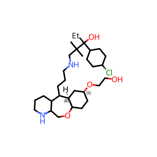 CCC(O)(C1CCC(Cl)CC1)C(C)(C)CNCCCC1C2CCCNC2COC2CC[C@H](OCCO)C[C@@H]21